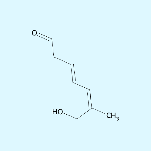 CC(=CC=CCC=O)CO